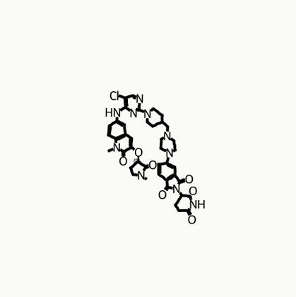 CN1CC[C@@H](Oc2cc3cc(Nc4nc(N5CCC(CN6CCN(c7ccc8c(c7)C(=O)N(C7CCC(=O)NC7=O)C8=O)CC6)CC5)ncc4Cl)ccc3n(C)c2=O)C1=O